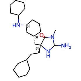 CN1C(=O)[C@@](CCC2CCCCC2)(C[C@H]2CCC[C@@H](NC3CCCCC3)C2)NC1N